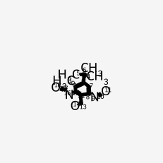 Cc1c(C(C)(C)C)cc(N=C=O)c(C=O)c1N=C=O